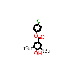 CC(C)(C)c1cc(C(=O)Oc2ccc(Cl)cc2)cc(C(C)(C)C)c1O